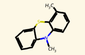 Cc1cccc2c1Sc1ccccc1N2C